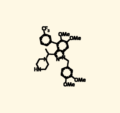 COc1ccc(Cn2nc(C(C)N3CCNCC3)c3c(-c4cccc(C(F)(F)F)c4)c(OC)c(OC)cc32)cc1OC